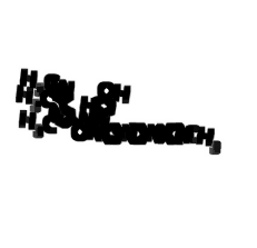 Cc1cc(C(=O)Nc2nc3ccc(N4CCC(N5CC6(CCN(C)CC6)C5)CC4)cc3n2[C@H]2CC[C@@H](O)CC2)cc(-c2cnn(C)c2C)n1